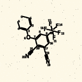 C/C=C\C(=C/C)Oc1cc(S(F)(F)(F)(F)F)cc(C#N)c1C#N